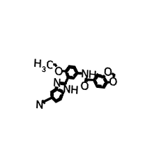 CCOc1ccc(NC(=O)c2ccc3c(c2)OCO3)cc1-c1nc2cc(C#N)ccc2[nH]1